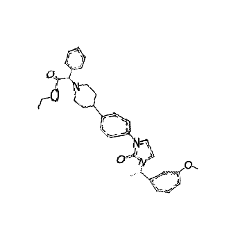 CCOC(=O)C(c1ccccc1)N1CCC(c2ccc(-n3ccn([C@@H](C)c4cccc(OC)c4)c3=O)cc2)CC1